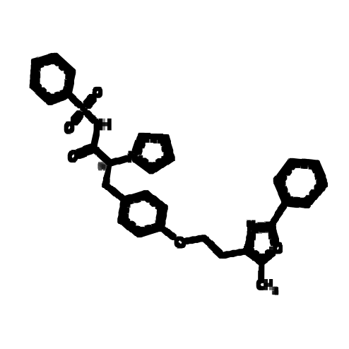 Cc1oc(-c2ccccc2)nc1CCOc1ccc(C[C@@H](C(=O)NS(=O)(=O)c2ccccc2)n2cccc2)cc1